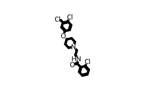 O=C(NCCN1CCC(Oc2ccc(Cl)c(Cl)c2)CC1)c1ccccc1Cl